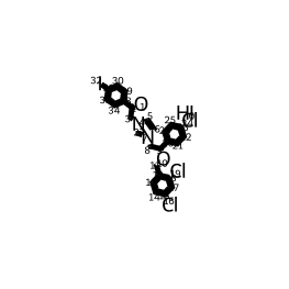 I.O=C(CN1C=CN(CC(OCc2ccc(Cl)cc2Cl)c2ccc(Cl)cc2)C1)c1ccc(I)cc1